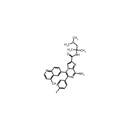 Cc1ccnc2ccc(-c3c(-c4ccc(F)cc4)nc(N)c4nc(C(=O)NC(C)(C)CN(C)C)cn34)cc12